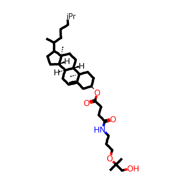 CC(C)CCCC(C)C1CC[C@H]2[C@@H]3CC=C4C[C@@H](OC(=O)CCC(=O)NCCCOC(C)(C)CO)CC[C@]4(C)[C@H]3CC[C@]12C